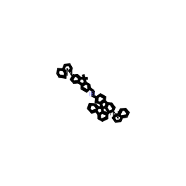 C[C@H]1C2=C(C=CC1N1CCCc3ccccc31)c1ccc(/C=C/c3ccc4c(c3)C(C)(C)c3cc(N5CCCC6=C5C=CCC6)ccc3-4)cc1C21c2ccccc2-c2ccccc21